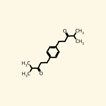 CC(C)C(=O)CCc1ccc(CCC(=O)C(C)C)cc1